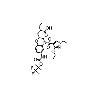 CCOc1nn(CC)cc1S(=O)(=O)N1C[C@H](C[C@@H](CC)C(=O)O)Oc2ccc(NC(=O)OC(C)(C)C(F)(F)F)cc21